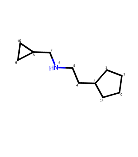 C1CC[C](CCNCC2CC2)C1